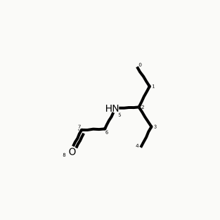 CCC(CC)NC[C]=O